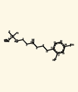 CC(C)(C)[Si](C)(C)OCCNCCCc1ccc(F)cc1F